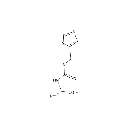 CC(C)[C@H](NC(=O)OCc1cncs1)C(=O)O